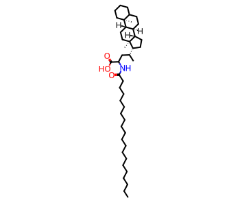 CCCCCCCCCCCCCCCCCCCC(=O)NC(CC(C)[C@H]1CC[C@H]2[C@@H]3CCC4CCCC[C@]4(C)[C@H]3CC[C@]12C)C(=O)O